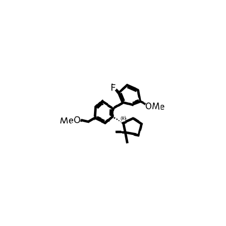 COCc1ccc(-c2cc(OC)ccc2F)c([C@@H]2CCCC2(C)C)c1